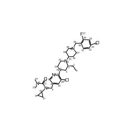 CC[C@H]1CN(c2ncc(CN(C(=O)N(C)C)C3CC3)cc2Cl)CCN1C1CCN(Cc2ccc(Cl)cc2F)CC1